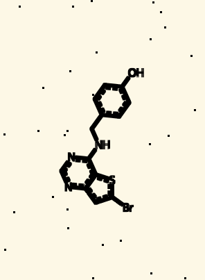 Oc1ccc(CNc2ncnc3cc(Br)sc23)cc1